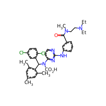 CCN(CC)CCN(C)C(=O)c1cccc(Nc2nccc(N(C(=O)O)C(c3cc(Cl)ccc3Cl)c3c(C)cc(C)cc3C)n2)c1